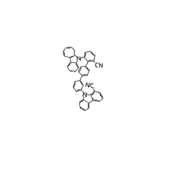 N#Cc1cccc(-n2c3c(c4ccccc42)C=CC=CC3)c1-c1ccc(-c2cccc(-n3c4ccccc4c4cccc(C#N)c43)c2)cc1